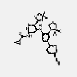 CC1(C)COC(c2nnc(NC(=O)C3CC3)cc2Nc2ccc(-c3ccc(C#N)cn3)cc2N2CCCS2(=O)=O)=N1